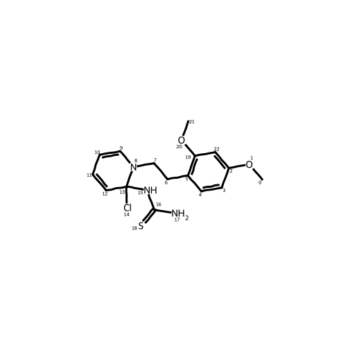 COc1ccc(CCN2C=CC=CC2(Cl)NC(N)=S)c(OC)c1